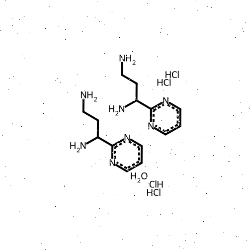 Cl.Cl.Cl.Cl.NCCC(N)c1ncccn1.NCCC(N)c1ncccn1.O